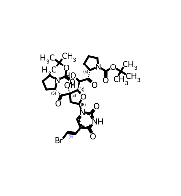 CC(C)(C)OC(=O)N1CCC[C@H]1C(=O)C(O)[C@H]1O[C@@H](n2cc(/C=C/Br)c(=O)[nH]c2=O)C[C@@]1(O)C(=O)[C@@H]1CCCN1C(=O)OC(C)(C)C